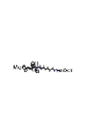 CCCCCCCC/C=C/CCCCCCC/C=C1/C[C@](C=CC(=O)OC)(CO)OC1=O